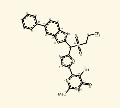 COc1nc(-c2nnc(C(c3nc4ccc(-c5ccccc5)cc4s3)S(=O)(=O)CCC(F)(F)F)o2)c(O)c(=O)[nH]1